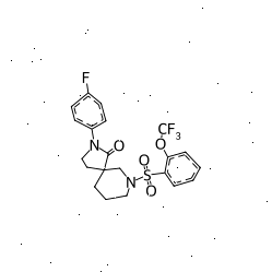 O=C1N(c2ccc(F)cc2)CCC12CCCN(S(=O)(=O)c1ccccc1OC(F)(F)F)C2